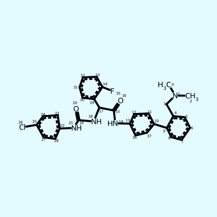 CN(C)Cc1ccccc1-c1ccc(NC(=O)C(NC(=O)Nc2ccc(Cl)cc2)c2ccccc2F)cc1